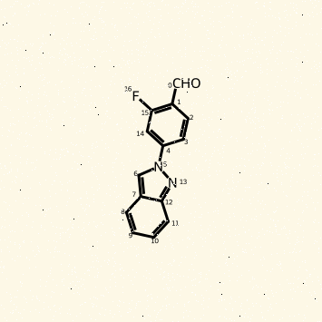 O=Cc1ccc(-n2cc3ccccc3n2)cc1F